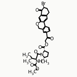 COC(=O)NC(C(=O)N1[C@@H](C)CC[C@H]1C(=O)OCC(=O)c1ccc2c(c1)COc1cc3c(cc1-2)CC[C@H](Br)C3=O)C(C)C